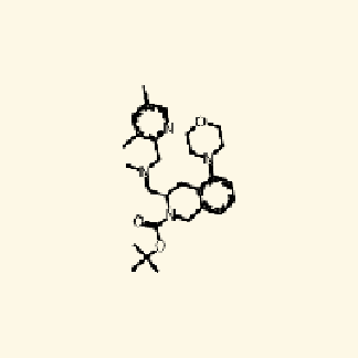 Cc1cnc(CN(C)C[C@H]2Cc3c(cccc3N3CCOCC3)CN2C(=O)OC(C)(C)C)c(C)c1